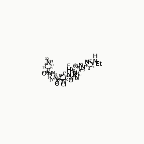 CCNc1ccc(-n2cc(-c3cnc(C(=O)Nc4ccc(C(=O)N5CCN(C(=O)C6CC[N+](C)(C)CC6)CC5)c(Cl)c4)n3C)c(C(F)(F)F)n2)nc1